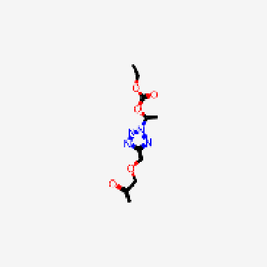 CCOC(=O)OC(C)n1nnc(COCC(C)=O)n1